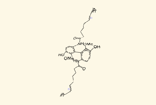 COc1c(O)ccc(NC(=O)CCCC/C=C/C(C)C)c1-c1c(NC(=O)CCCC/C=C/C(C)C)ccc(O)c1OC